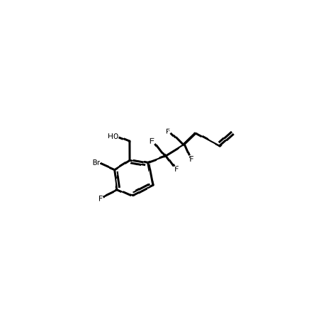 C=CCC(F)(F)C(F)(F)c1ccc(F)c(Br)c1CO